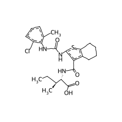 CC[C@H](C)[C@H](NC(=O)c1c(NC(=O)Nc2c(C)cccc2Cl)sc2c1CCCC2)C(=O)O